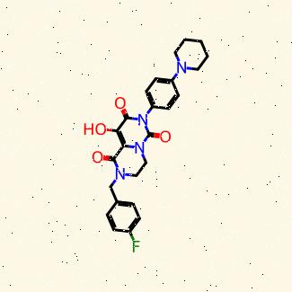 O=C1c2c(O)c(=O)n(-c3ccc(N4CCCCC4)cc3)c(=O)n2CCN1Cc1ccc(F)cc1